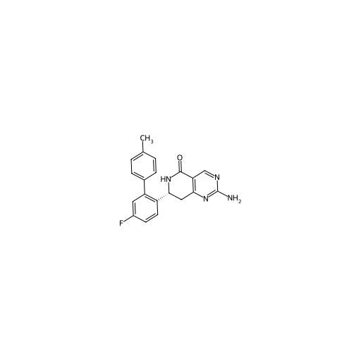 Cc1ccc(-c2cc(F)ccc2[C@H]2Cc3nc(N)ncc3C(=O)N2)cc1